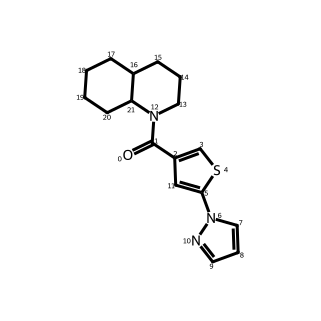 O=C(c1csc(-n2cccn2)c1)N1CCCC2CCCCC21